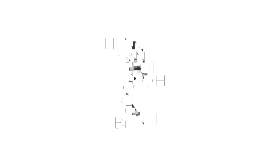 Nc1nc2cc(OC[C@H]3S[C@@H](n4ccc5c(N)ncnc54)[C@H](O)[C@@H]3O)ccc2cc1Br